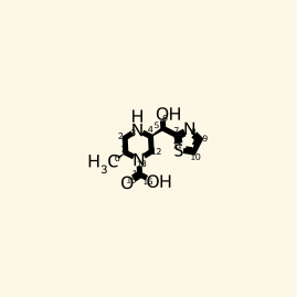 C[C@@H]1CN[C@@H](C(O)c2nccs2)CN1C(=O)O